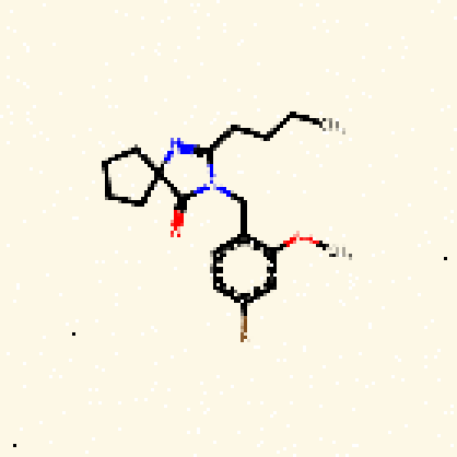 CCCCC1=NC2(CCCC2)C(=O)N1Cc1ccc(Br)cc1OC